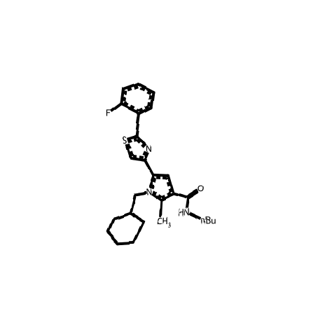 CCCCNC(=O)c1cc(-c2csc(-c3ccccc3F)n2)n(CC2CCCCC2)c1C